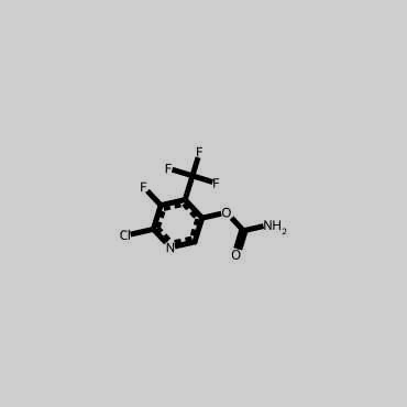 NC(=O)Oc1cnc(Cl)c(F)c1C(F)(F)F